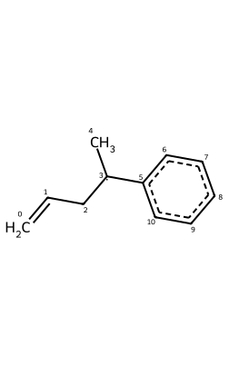 C=CC[C](C)c1ccccc1